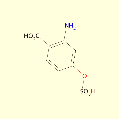 Nc1cc(OS(=O)(=O)O)ccc1C(=O)O